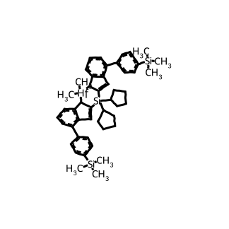 C[Si](C)(C)c1ccc(-c2cccc3c2C=C2[CH]3[Hf]([CH3])([CH3])[CH]3C(=Cc4c(-c5ccc([Si](C)(C)C)cc5)cccc43)[Si]2(C2CCCC2)C2CCCC2)cc1